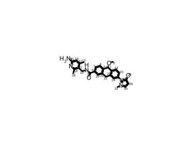 CO[C@@H]1c2ccc(C(=O)NCc3c(C)cc(N)nc3C)cc2Cc2cc(-n3c(=O)ccn3C)ccc21